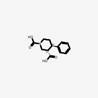 O=C(O)[C@@H]1CN(C(=O)O)CC[C@H]1c1ccccc1